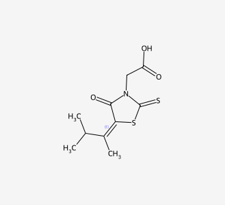 C/C(=C1\SC(=S)N(CC(=O)O)C1=O)C(C)C